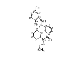 CCCN(C(=O)c1cccc(CNc2cc(F)ccc2C)c1)C1CCCCC1